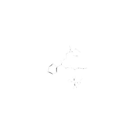 CCCCOCC(SCC[N+](C)(CC)CC)c1ccccc1.COS(=O)(=O)[O-]